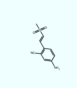 CS(=O)(=O)C=Cc1ccc(N)cc1C#N